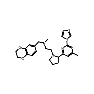 Cc1cc(C2CCCN2CCN(C)Cc2ccc3c(c2)OCCO3)nc(-n2ccnc2)n1